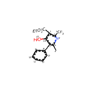 CCOC(=O)c1c(C(F)(F)F)nc(C)c(-c2ccccc2)c1O